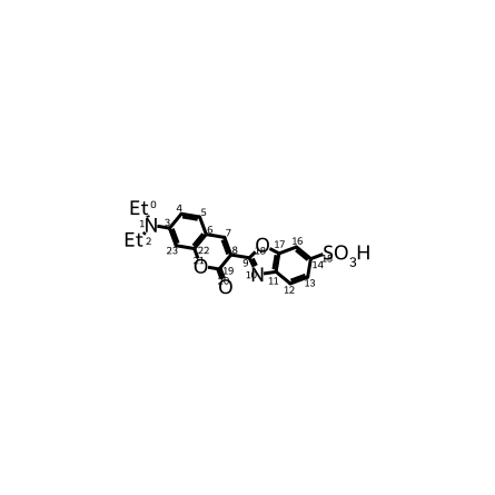 CCN(CC)c1ccc2cc(-c3nc4ccc(S(=O)(=O)O)cc4o3)c(=O)oc2c1